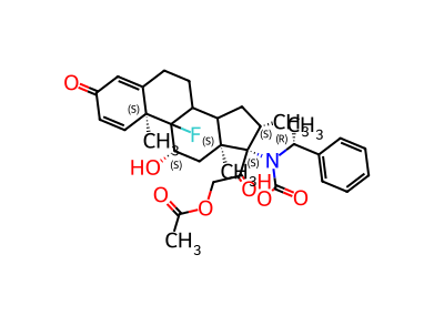 CC(=O)OCC(=O)[C@]1(N(C(=O)O)[C@H](C)c2ccccc2)[C@@H](C)CC2C3CCC4=CC(=O)C=C[C@]4(C)C3(F)[C@@H](O)C[C@@]21C